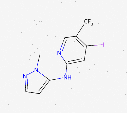 Cn1nccc1Nc1cc(I)c(C(F)(F)F)cn1